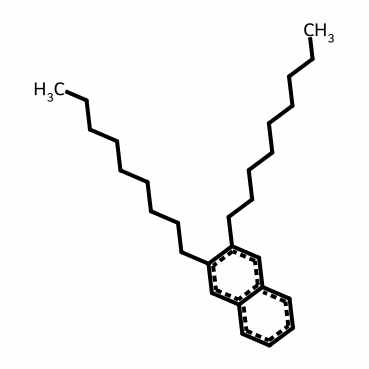 CCCCCCCCCc1cc2ccccc2cc1CCCCCCCCC